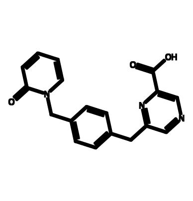 O=C(O)c1cncc(Cc2ccc(Cn3ccccc3=O)cc2)n1